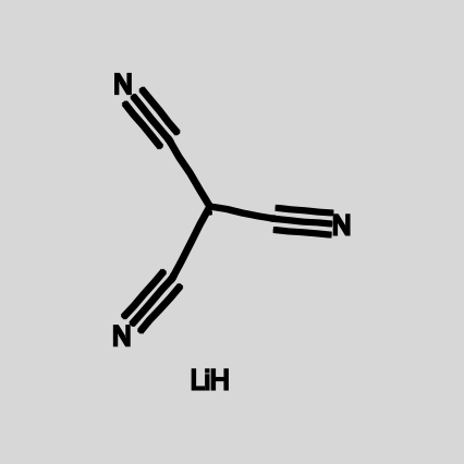 N#C[C](C#N)C#N.[LiH]